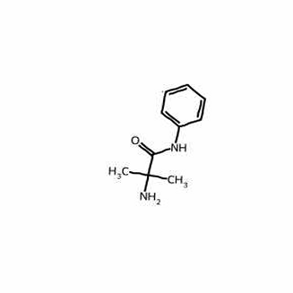 CC(C)(N)C(=O)Nc1c[c]ccc1